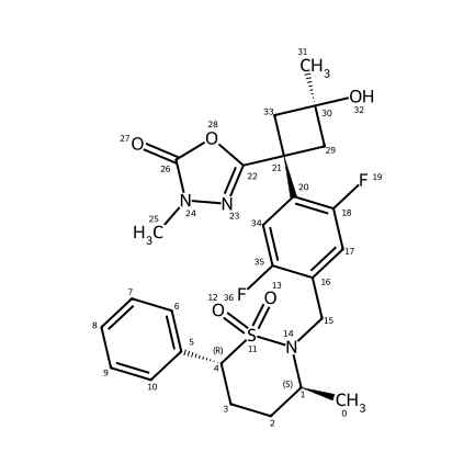 C[C@H]1CC[C@H](c2ccccc2)S(=O)(=O)N1Cc1cc(F)c([C@]2(c3nn(C)c(=O)o3)C[C@](C)(O)C2)cc1F